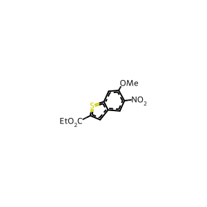 CCOC(=O)c1cc2cc([N+](=O)[O-])c(OC)cc2s1